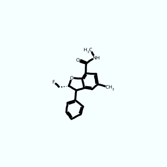 CNC(=O)c1cc(C)cc2c1O[C@@H](CF)C2c1ccccc1